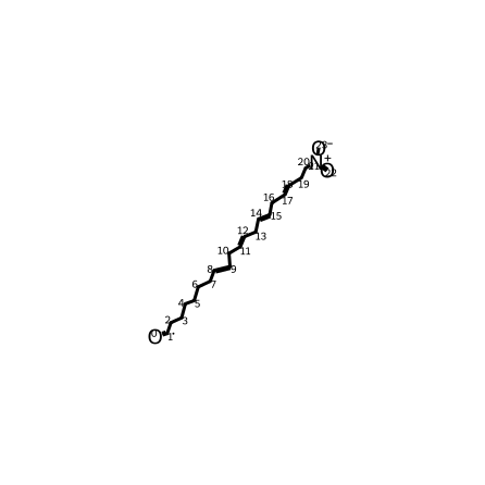 O=[C]CCCCCCC=CCC=CCC=CCC=CCC[N+](=O)[O-]